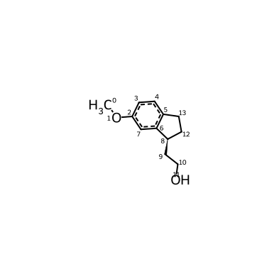 COc1ccc2c(c1)[C@H](CCO)CC2